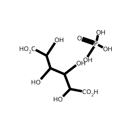 O=C(O)C(O)C(O)C(O)C(O)C(=O)O.O=P(O)(O)O